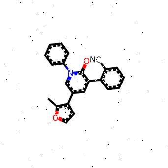 Cc1occc1-c1cc(-c2ccccc2C#N)c(=O)n(-c2ccccc2)c1